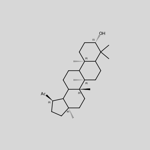 CC(=O)[C@@H]1CC[C@]2(C)CC[C@]3(C)C(CCC4[C@@]5(C)CC[C@H](O)C(C)(C)C5CC[C@]43C)C12